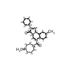 Cc1ccc2c(c1)c1nn(-c3ccccc3)c(=O)c-1cn2C(=O)N1CCCN(C)CC1